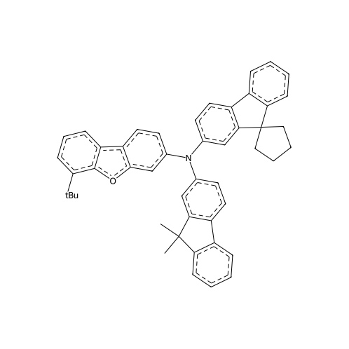 CC(C)(C)c1cccc2c1oc1cc(N(c3ccc4c(c3)C(C)(C)c3ccccc3-4)c3ccc4c(c3)C3(CCCC3)c3ccccc3-4)ccc12